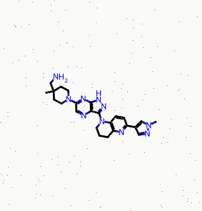 Cn1cc(-c2ccc3c(n2)CCCN3c2n[nH]c3nc(N4CCC(C)(CN)CC4)cnc23)cn1